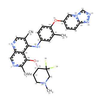 COc1ncc2ncc(C#N)c(Nc3ccc(Oc4ccc5nncn5c4)c(C)c3)c2c1O[C@H]1CCN(C)CC1(F)F